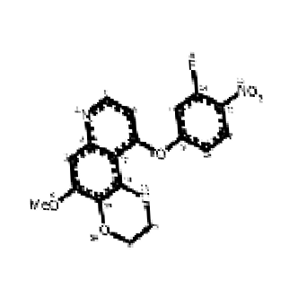 COc1cc2nccc(Oc3ccc([N+](=O)[O-])c(F)c3)c2c2c1OCCO2